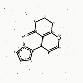 O=C1CCCC2=C1C(c1cccs1)C=CO2